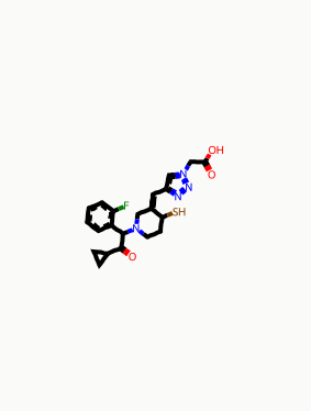 O=C(O)Cn1cc(C=C2CN(C(C(=O)C3CC3)c3ccccc3F)CCC2S)nn1